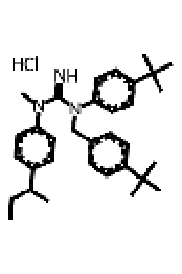 CCC(C)c1ccc(N(C)C(=N)N(Cc2ccc(C(C)(C)C)cc2)c2ccc(C(C)(C)C)cc2)cc1.Cl